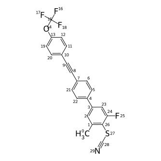 Cc1cc(-c2ccc(C#Cc3ccc(OC(F)(F)F)cc3)cc2)cc(F)c1SC#N